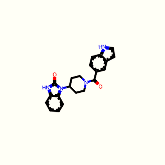 O=C(c1ccc2[nH]ccc2c1)N1CCC(n2c(=O)[nH]c3ccccc32)CC1